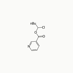 CCCCC(Cl)OC(=O)c1cccnc1